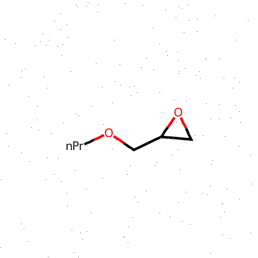 CCCOCC1CO1